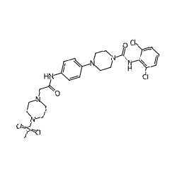 CS(=O)(=O)N1CCN(CC(=O)Nc2ccc(N3CCN(C(=O)Nc4c(Cl)cccc4Cl)CC3)cc2)CC1